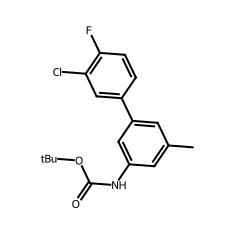 Cc1cc(NC(=O)OC(C)(C)C)cc(-c2ccc(F)c(Cl)c2)c1